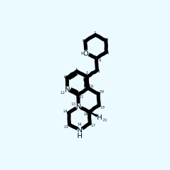 c1cc(CC2CCCCO2)c2c(n1)N1CCNC[C@H]1CC2